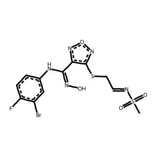 CS(=O)(=O)N=CCSc1nonc1C(=NO)Nc1ccc(F)c(Br)c1